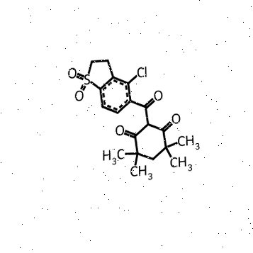 CC1(C)CC(C)(C)C(=O)C(C(=O)c2ccc3c(c2Cl)CCS3(=O)=O)C1=O